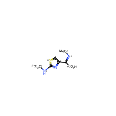 CCOC(=O)Nc1nc(/C(=N\OC)C(=O)O)cs1